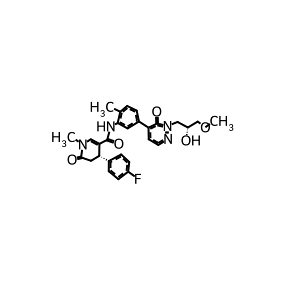 COC[C@H](O)Cn1nccc(-c2ccc(C)c(NC(=O)C3=CN(C)C(=O)C[C@H]3c3ccc(F)cc3)c2)c1=O